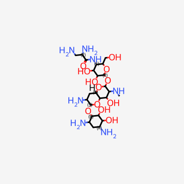 CNC1C(O[C@H]2OC(CO)[C@@H](NC(=O)[C@H](N)CN)C(O)C2O)O[C@H]2CC(N)[C@@H](O[C@@H]3C(N)C[C@@H](N)C(O)C3O)OC2C1O